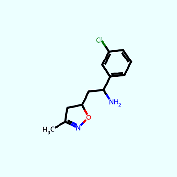 CC1=NOC(CC(N)c2cccc(Cl)c2)C1